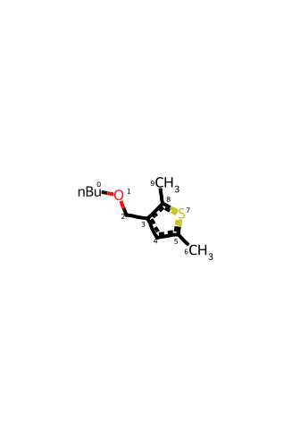 CCCCOCc1cc(C)sc1C